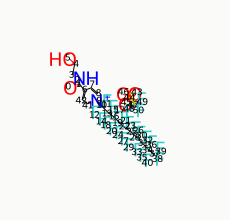 O=C(NCCO)c1cc[n+](C(F)(F)C(F)(F)C(F)(F)C(F)(F)C(F)(F)C(F)(F)C(F)(F)C(F)(F)C(F)(F)C(F)(F)F)cc1.O=S(=O)([O-])C(F)(F)F